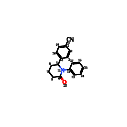 N#Cc1ccc(C2CCCC(=O)N2c2ccccc2)cc1